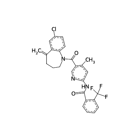 C=C1CCCN(C(=O)c2cnc(NC(=O)c3ccccc3C(F)(F)F)cc2C)c2ccc(Cl)cc21